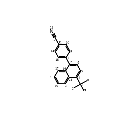 CC(C)(C)c1ccc(-c2ccc(C#N)cc2)c2ccccc12